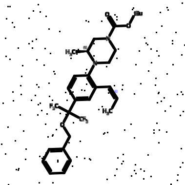 C/C=C\c1cc(C(OCc2ccccc2)(C(F)(F)F)C(F)(F)F)ccc1N1CCN(C(=O)OC(C)(C)C)C[C@@H]1C